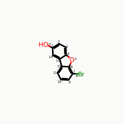 Oc1ccc2oc3c(Br)cccc3c2c1